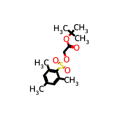 Cc1cc(C)c(S(=O)(=O)OCC(=O)OC(C)(C)C)c(C)c1